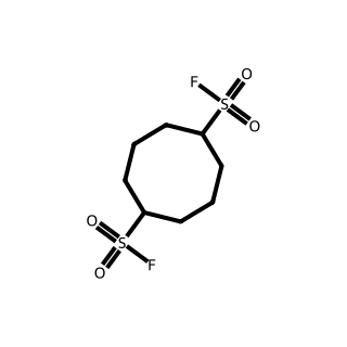 O=S(=O)(F)C1CCCC(S(=O)(=O)F)CCC1